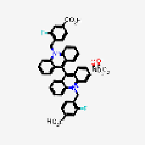 O=C(O)c1ccc(C[n+]2c3ccccc3c(-c3c4ccccc4[n+](Cc4ccc(C(=O)O)cc4F)c4ccccc34)c3ccccc32)c(F)c1.O=[N+]([O-])[O-].O=[N+]([O-])[O-]